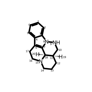 c1ccc2c(c1)c1c3n2NC[C@H]2CCCN(CC1)[C@@H]32